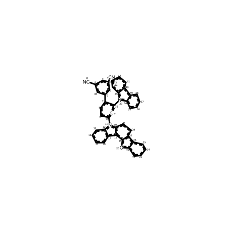 N#Cc1cc(C#N)cc(-c2ccc(-n3c4ccccc4c4c5oc6ccccc6c5ccc43)cc2-n2c3ccccc3c3ccccc32)c1